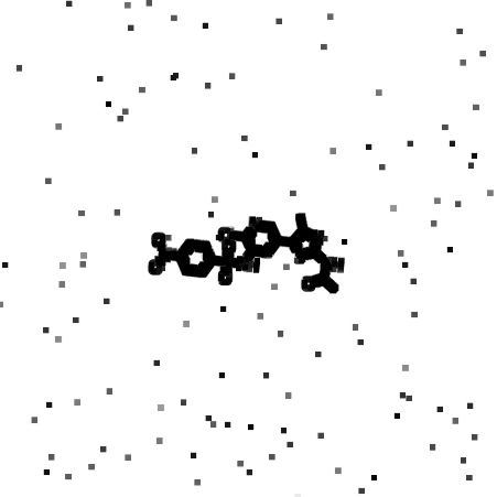 CC(=O)Nc1nc(C)c(-c2cnc(Cl)c(NS(=O)(=O)c3ccc([N+](=O)[O-])cc3)c2)s1